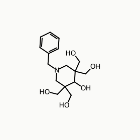 OCC1(CO)CN(Cc2ccccc2)CC(CO)(CO)C1O